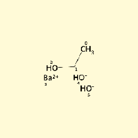 CCO.[Ba+2].[OH-].[OH-]